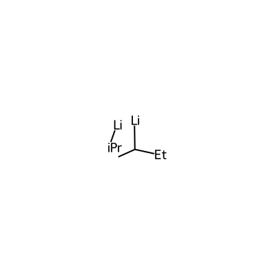 [Li][CH](C)C.[Li][CH](C)CC